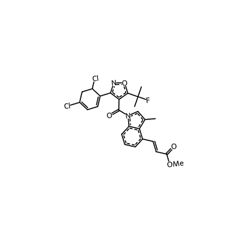 COC(=O)/C=C/c1cccc2c1c(C)cn2C(=O)c1c(C2=CC=C(Cl)CC2Cl)noc1C(C)(C)F